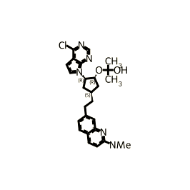 CNc1ccc2ccc(CC[C@H]3C[C@@H](n4ccc5c(Cl)ncnc54)[C@H](OC(C)(C)O)C3)cc2n1